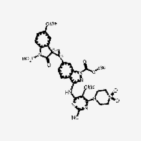 COc1ccc2c(c1)[C@]1(C[C@H]1c1ccc3c(Nc4nc(C#N)nc(N5CCS(=O)(=O)CC5)c4OC)nn(C(=O)OC(C)(C)C)c3c1)C(=O)N2C(=O)O